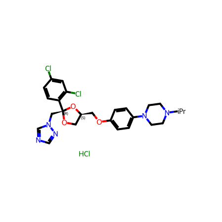 CC(C)N1CCN(c2ccc(OC[C@H]3CO[C@](Cn4cncn4)(c4ccc(Cl)cc4Cl)O3)cc2)CC1.Cl